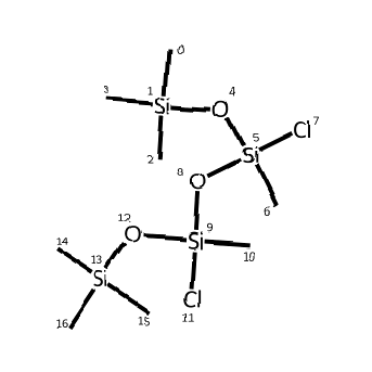 C[Si](C)(C)O[Si](C)(Cl)O[Si](C)(Cl)O[Si](C)(C)C